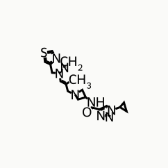 C=NN(/C=C(\C)CN1CC(NC(=O)c2cn(C3CC3)nn2)C1)Cc1cscn1